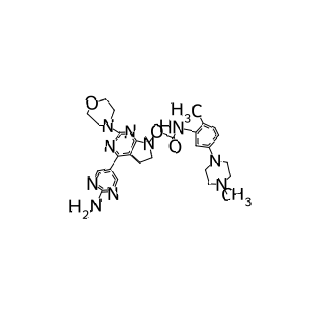 Cc1ccc(N2CCN(C)CC2)cc1NC(=O)ON1CCc2c(-c3cnc(N)nc3)nc(N3CCOCC3)nc21